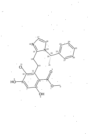 COC(=O)c1c(O)cc(O)c(Cl)c1CCc1nccn1[C@@H](C)c1ccccc1